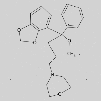 COC(CCCN1CCCCC1)(c1ccccc1)c1cccc2c1OCO2